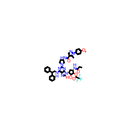 CCC(=O)N[C@H]1C[C@@H](n2cnc3c(NCC(c4ccccc4)c4ccccc4)nc(N4CC[C@@H](NC(=O)c5cnn(-c6ccc(OC)cc6)c5C)C4)nc32)[C@H](O)[C@@H]1OC(=O)C(F)(F)F